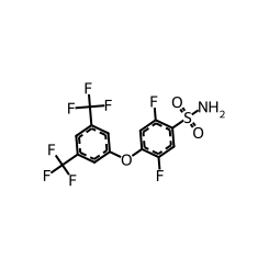 NS(=O)(=O)c1cc(F)c(Oc2cc(C(F)(F)F)cc(C(F)(F)F)c2)cc1F